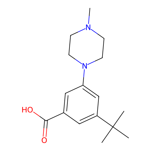 CN1CCN(c2cc(C(=O)O)cc(C(C)(C)C)c2)CC1